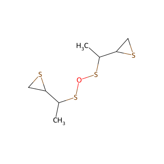 CC(SOSC(C)C1CS1)C1CS1